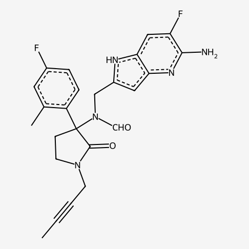 CC#CCN1CCC(c2ccc(F)cc2C)(N(C=O)Cc2cc3nc(N)c(F)cc3[nH]2)C1=O